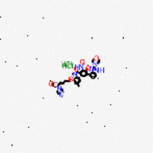 COc1c(-c2cccc3[nH]c(N4CCOCC4)nc23)ccc(C(=O)N(C)c2ccc(C)cc2OCCCCC(=C=O)N2CCN(C)CC2)c1NC=O.Cl.Cl